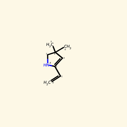 C=CC1=CC(C)(C)CN1